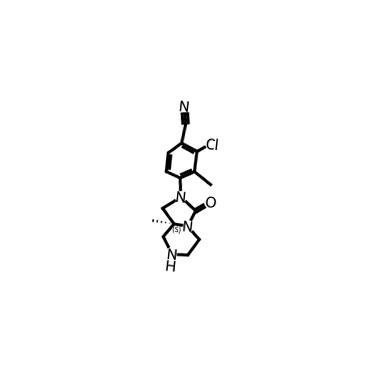 Cc1c(N2C[C@]3(C)CNCCN3C2=O)ccc(C#N)c1Cl